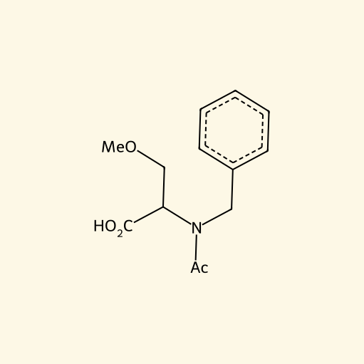 COCC(C(=O)O)N(Cc1ccccc1)C(C)=O